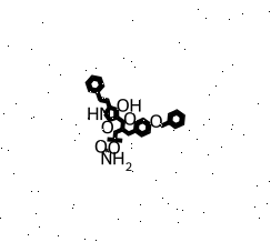 CC(C)(CC(Cc1ccc(OCc2ccccc2)cc1)C(=O)C1=C(O)C(C=Cc2ccccc2)NC1=O)OC(N)=O